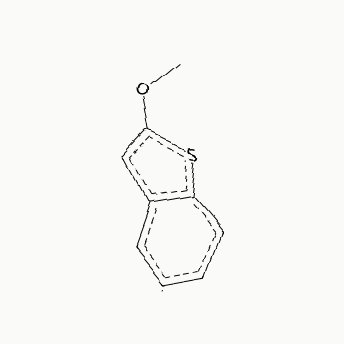 COc1cc2c[c]ccc2s1